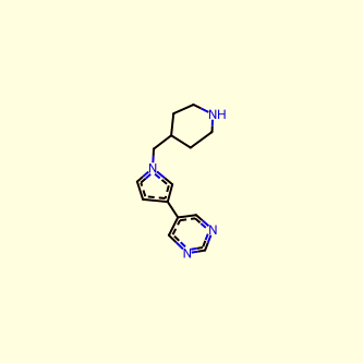 c1ncc(-c2ccn(CC3CCNCC3)c2)cn1